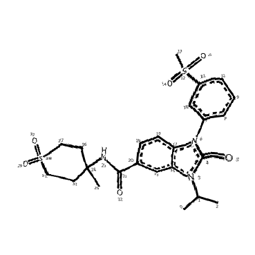 CC(C)n1c(=O)n(-c2cccc(S(C)(=O)=O)c2)c2ccc(C(=O)NC3(C)CCS(=O)(=O)CC3)cc21